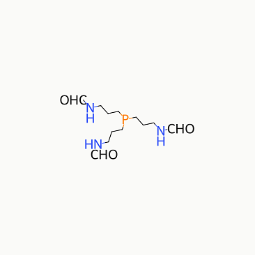 O=CNCCCP(CCCNC=O)CCCNC=O